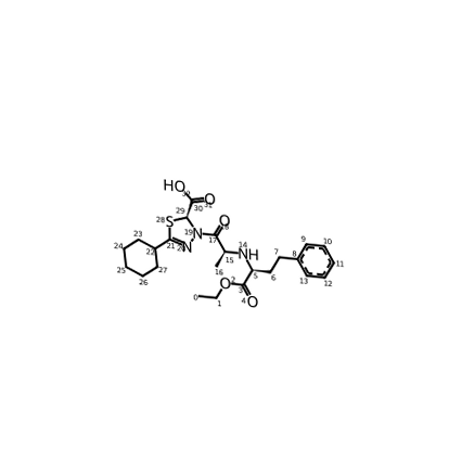 CCOC(=O)[C@H](CCc1ccccc1)N[C@@H](C)C(=O)N1N=C(C2CCCCC2)S[C@H]1C(=O)O